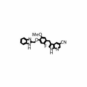 COc1cc(Cc2c[nH]c3ncc(C#N)cc23)c(F)cc1OCc1nc2ccccc2[nH]1